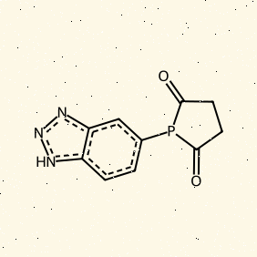 O=C1CCC(=O)P1c1ccc2[nH]nnc2c1